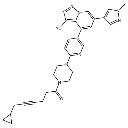 Cn1cc(-c2cc(-c3ccc(N4CCN(C(=O)CCC#CCC5CC5)CC4)nc3)c3c(C#N)cnn3c2)cn1